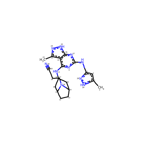 Cc1cc(Nc2nc(NC3CC4CCC(C3)N4CCC#N)c3c(C)n[nH]c3n2)n[nH]1